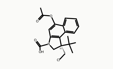 CC(=O)Oc1cc2c(c3ccccc13)[C@@](CCl)(C(C)(C)C)CN2C(=O)O